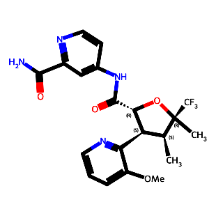 COc1cccnc1[C@H]1[C@H](C(=O)Nc2ccnc(C(N)=O)c2)O[C@@](C)(C(F)(F)F)[C@H]1C